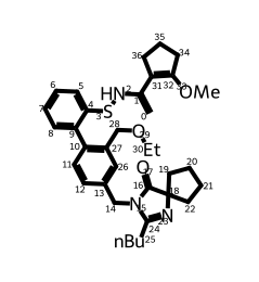 C=C(NSc1ccccc1-c1ccc(CN2C(=O)C3(CCCC3)N=C2CCCC)cc1COCC)C1=C(OC)CCC1